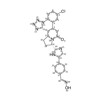 O=c1cc(-c2cc(Cl)ccc2-n2cnnn2)cc2n1[C@H](c1ncc(-c3ccc(/C=N/O)cc3)[nH]1)CC2